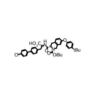 CC(C)COC(=O)N1Cc2cc(Oc3ccc(C(C)(C)C)cc3)ccc2C[C@H]1C(=O)N[C@@H](Cc1ccc(-c2ccc(Cl)cc2)cc1)C(=O)O